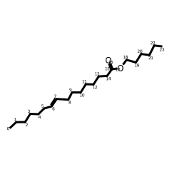 CCCCCCC=CCCCCCCCC(=O)OCCCCCC